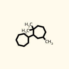 CC1CCCC(C)(C)C(C2CCCCCC2)C1